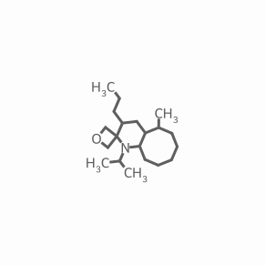 CCCC1CC2C(C)CCCCCC2N(C(C)C)C12COC2